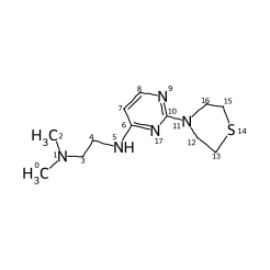 CN(C)CCNc1ccnc(N2CCSCC2)n1